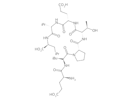 CC[C@H](C)[C@H](NC(=O)[C@@H](N)CCC(=O)O)C(=O)N1CCC[C@H]1C(=O)N[C@H](C(=O)N[C@@H](CCC(=O)O)C(=O)N[C@H](C(=O)N[C@@H](CC(C)C)C(=O)O)C(C)C)[C@@H](C)O